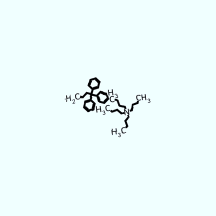 CCCC[N+](CCCC)(CCCC)CCCC.[CH2]CCC(c1ccccc1)(c1ccccc1)c1ccccc1